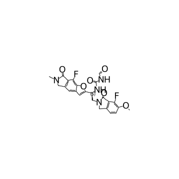 COc1ccc2c(c1F)C(=O)N(C[C@H](NC(=O)NC=O)c1cc3cc4c(c(F)c3o1)C(=O)N(C)C4)C2